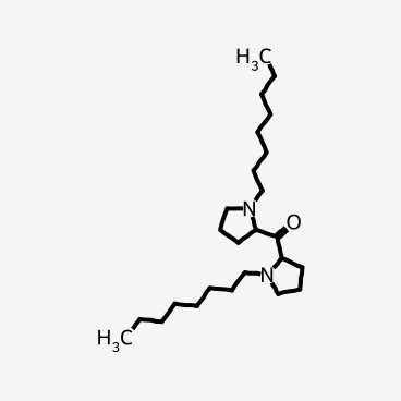 CCCCCCCCN1CCCC1C(=O)C1CCCN1CCCCCCCC